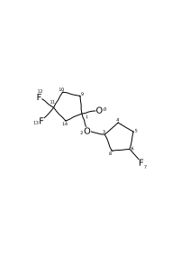 [O]C1(OC2CCC(F)C2)CCC(F)(F)C1